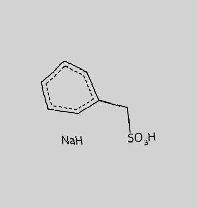 O=S(=O)(O)Cc1ccccc1.[NaH]